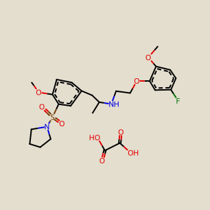 COc1ccc(F)cc1OCCNC(C)Cc1ccc(OC)c(S(=O)(=O)N2CCCC2)c1.O=C(O)C(=O)O